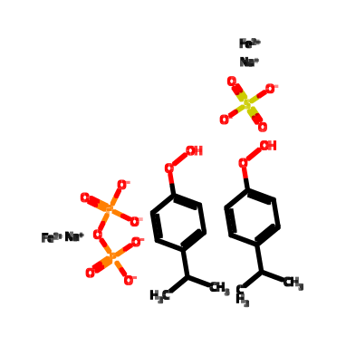 CC(C)c1ccc(OO)cc1.CC(C)c1ccc(OO)cc1.O=P([O-])([O-])OP(=O)([O-])[O-].O=S(=O)([O-])[O-].[Fe+2].[Fe+2].[Na+].[Na+]